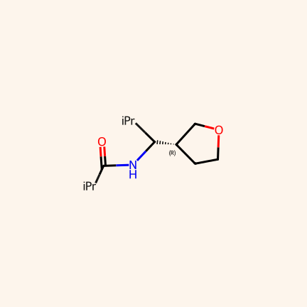 CC(C)C(=O)NC(C(C)C)[C@H]1CCOC1